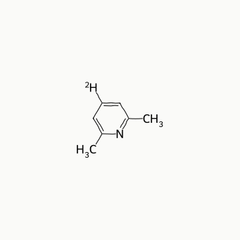 [2H]c1cc(C)nc(C)c1